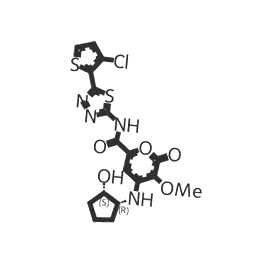 COc1c(N[C@@H]2CCC[C@@H]2O)cc(C(=O)Nc2nnc(-c3sccc3Cl)s2)oc1=O